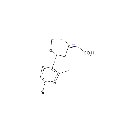 Cc1nc(Br)ccc1C1C/C(=C\C(=O)O)CCO1